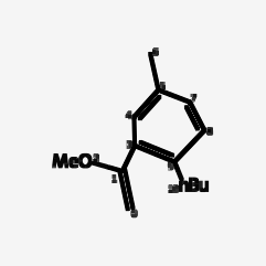 C=C(OC)c1cc(C)ccc1CCCC